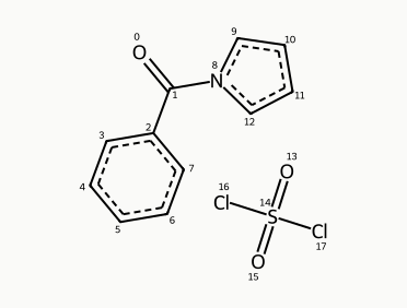 O=C(c1ccccc1)n1cccc1.O=S(=O)(Cl)Cl